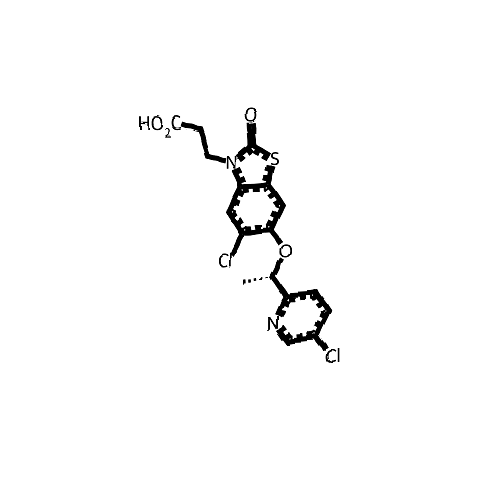 C[C@H](Oc1cc2sc(=O)n(CCC(=O)O)c2cc1Cl)c1ccc(Cl)cn1